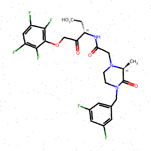 C[C@H]1C(=O)N(Cc2cc(F)cc(F)c2)CCN1CC(=O)N[C@@H](CC(=O)O)C(=O)COc1c(F)c(F)cc(F)c1F